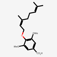 COc1cc(C(=O)O)cc(OC)c1OCC=C(C)CCC=C(C)C